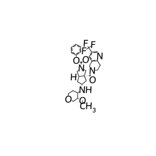 CO[C@@H]1COCCC1N[C@@H]1C[C@H]2CN(C(=O)Oc3ccccc3)C[C@@]2(C(=O)N2CCc3ncc(C(F)(F)F)cc3C2)C1